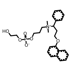 C[N+](C)(CCCOP(=O)([O-])OCCO)C(CCOc1cccc2ccccc12)c1ccccc1